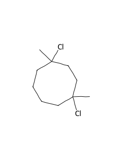 CC1(Cl)CCCCC(C)(Cl)CC1